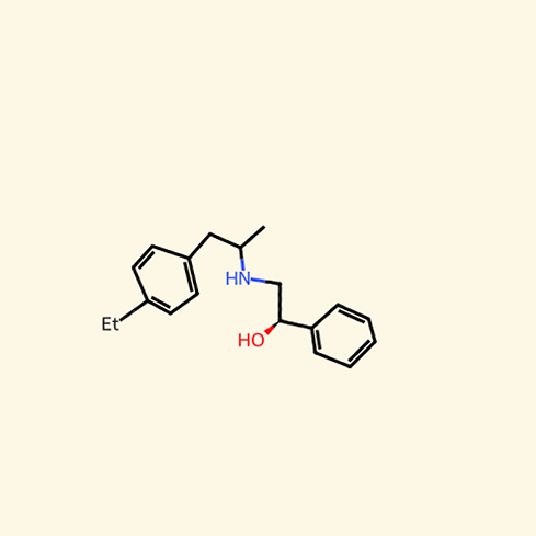 CCc1ccc(CC(C)NC[C@H](O)c2ccccc2)cc1